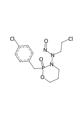 O=NN(CCCl)N1CCCOP1(=O)Cc1ccc(Cl)cc1